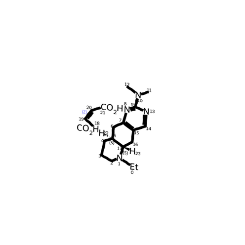 CCN1CCC[C@H]2Cc3nc(N(C)C)ncc3C[C@@H]21.O=C(O)/C=C\C(=O)O